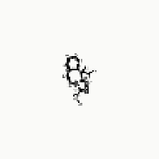 CCC1(C)c2ccccc2C=Cn2c(SC)nnc21